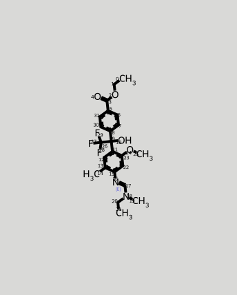 CCOC(=O)c1ccc(C(O)(c2cc(C)c(/N=C/N(C)CC)cc2OC)C(F)(F)F)cc1